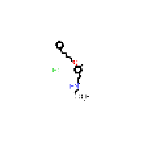 Cc1cc(C=CCNCCC(=O)O)ccc1OCCCCCc1ccccc1.Cl